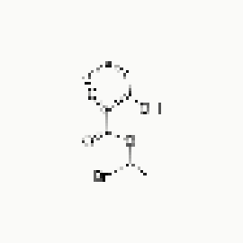 CC(Br)OC(=O)c1ccccc1O